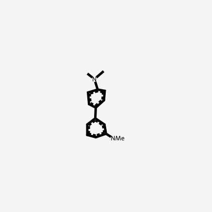 CNc1cccc(-c2ccc(N(C)C)cc2)c1